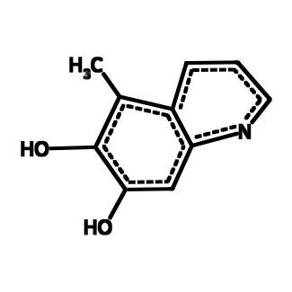 Cc1c(O)c(O)cc2ncccc12